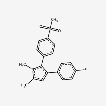 Cc1cc(-c2ccc(F)cc2)c(-c2ccc(S(C)(=O)=O)cc2)n1C